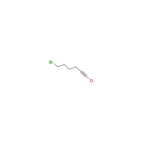 [O]C#CCCCCBr